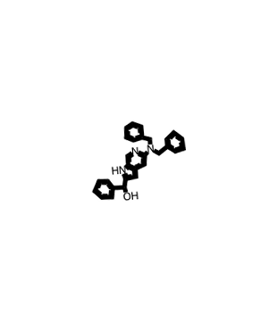 OC(c1ccccc1)c1cc2cc(N(Cc3ccccc3)Cc3ccccc3)ncc2[nH]1